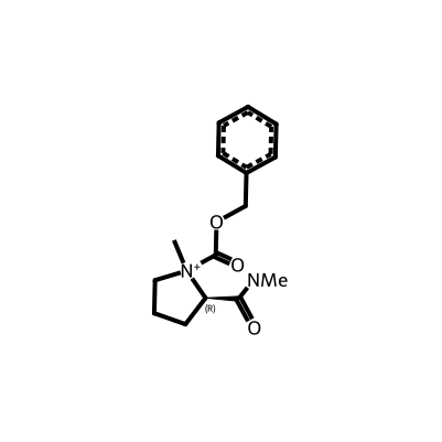 CNC(=O)[C@H]1CCC[N+]1(C)C(=O)OCc1ccccc1